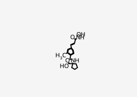 Cc1cc(/C=C/C(=O)NO)ccc1CNC1(C(=O)O)CCCC1